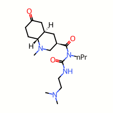 CCCN(C(=O)NCCN(C)C)C(=O)[C@@H]1C[C@@H]2CC(=O)CC[C@H]2N(C)C1